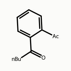 CCCCC(=O)c1ccccc1C(C)=O